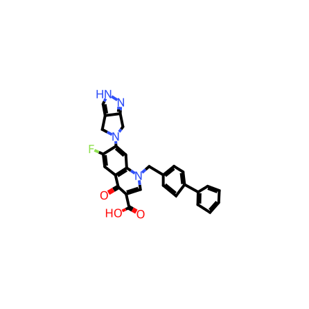 O=C(O)c1cn(Cc2ccc(-c3ccccc3)cc2)c2cc(N3Cc4c[nH]nc4C3)c(F)cc2c1=O